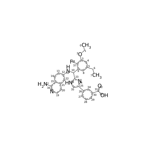 CCOc1cc(CC)cc(C(Nc2ccc3c(N)nccc3c2)c2nc(-c3cccc(C(=O)O)c3)c[nH]2)c1F